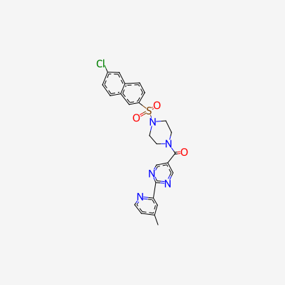 Cc1ccnc(-c2ncc(C(=O)N3CCN(S(=O)(=O)c4ccc5cc(Cl)ccc5c4)CC3)cn2)c1